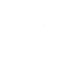 CCn1c(C2CC2)nn(-c2cc(OCC(F)(F)F)c(C(=O)OC(C)(C)C)cc2F)c1=O